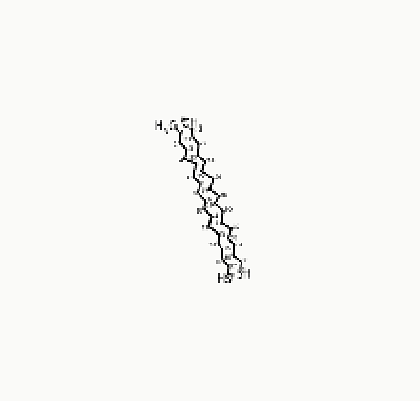 CCCCCCCCCCCCCCCCCCS.CCCCCCCCCCCCCCCCCCS